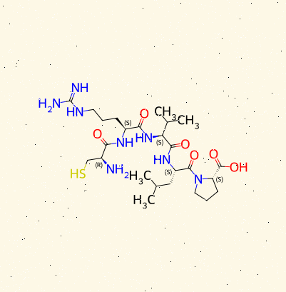 CC(C)C[C@H](NC(=O)[C@@H](NC(=O)[C@H](CCCNC(=N)N)NC(=O)[C@@H](N)CS)C(C)C)C(=O)N1CCC[C@H]1C(=O)O